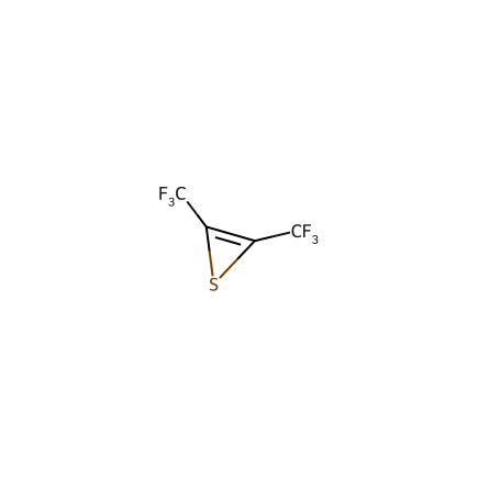 FC(F)(F)C1=C(C(F)(F)F)S1